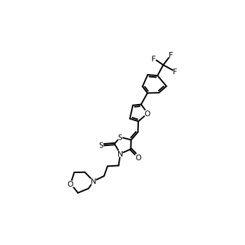 O=C1/C(=C/c2ccc(-c3ccc(C(F)(F)F)cc3)o2)SC(=S)N1CCCN1CCOCC1